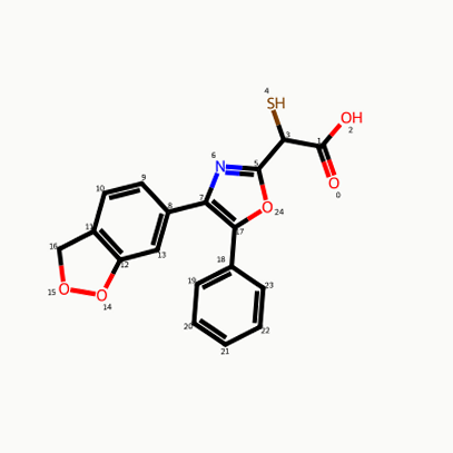 O=C(O)C(S)c1nc(-c2ccc3c(c2)OOC3)c(-c2ccccc2)o1